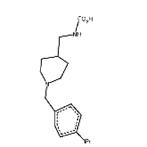 CC(C)c1ccc(CN2CCC(CNC(=O)O)CC2)cc1